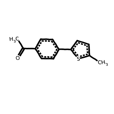 CC(=O)c1ccc(-c2ccc(C)s2)cc1